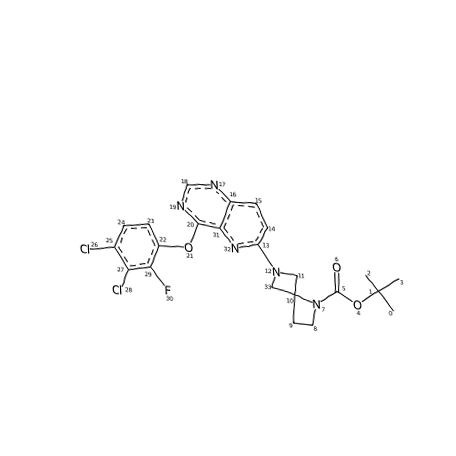 CC(C)(C)OC(=O)N1CCC12CN(c1ccc3ncnc(Oc4ccc(Cl)c(Cl)c4F)c3n1)C2